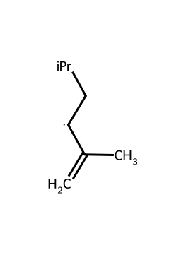 C=C(C)[CH]CC(C)C